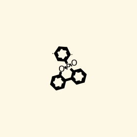 O=P1(c2[c]cc[c]c2)Oc2ccccc2-c2ccccc21